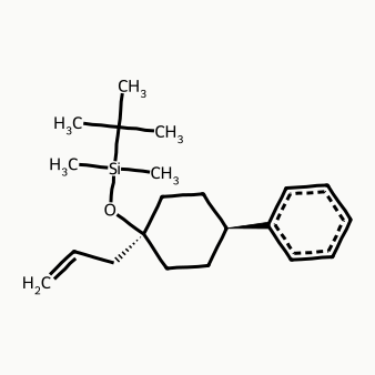 C=CC[C@]1(O[Si](C)(C)C(C)(C)C)CC[C@@H](c2ccccc2)CC1